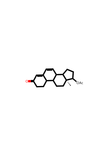 CC(=O)OC1CCC2C3C=CC4=CC(=O)CCC4C3CC[C@]12C